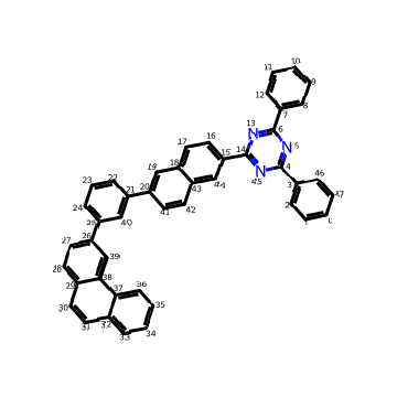 c1ccc(-c2nc(-c3ccccc3)nc(-c3ccc4cc(-c5cccc(-c6ccc7ccc8ccccc8c7c6)c5)ccc4c3)n2)cc1